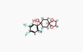 OC1(c2cc(F)c(F)cc2F)CCC2(CC1)OCCO2